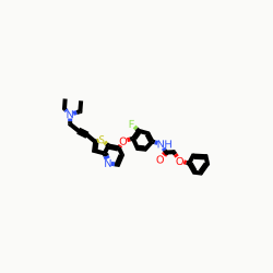 CCN(CC)CC#Cc1cc2nccc(Oc3ccc(NC(=O)COc4ccccc4)cc3F)c2s1